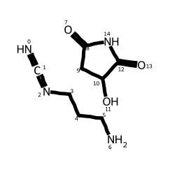 N=C=NCCCN.O=C1CC(O)C(=O)N1